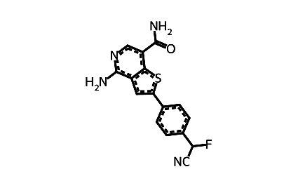 N#CC(F)c1ccc(-c2cc3c(N)ncc(C(N)=O)c3s2)cc1